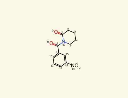 O=C1CCCCN1C(=O)c1cccc([N+](=O)[O-])c1